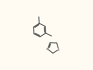 C1=NCSC1.Cc1cccc(C)c1